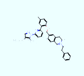 Cc1ccc(OCc2ccc3c(c2)CCN(CCc2ccccc2)C3)c(-c2cccc(-n3ncc(C(=O)O)c3C(F)(F)F)n2)c1